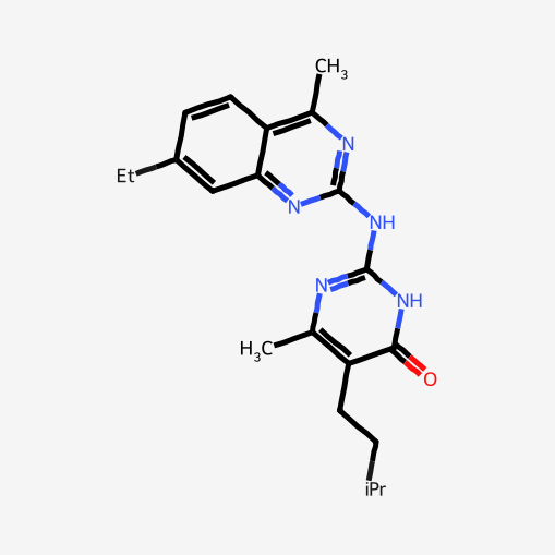 CCc1ccc2c(C)nc(Nc3nc(C)c(CCC(C)C)c(=O)[nH]3)nc2c1